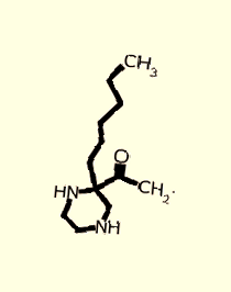 [CH2]C(=O)C1(CCCCCC)CNCCN1